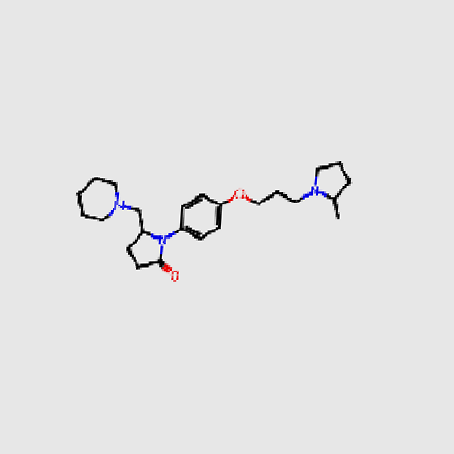 CC1CCCN1CCCOc1ccc(N2C(=O)CCC2CN2CCCCC2)cc1